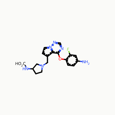 Nc1ccc(Oc2ncnn3ccc(CN4CCC(NC(=O)O)C4)c23)c(F)c1